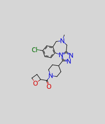 CN1Cc2cc(Cl)ccc2-n2c(nnc2C2CCN(C(=O)C3CCO3)CC2)C1